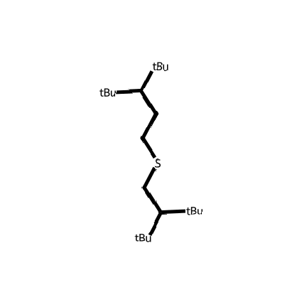 CC(C)(C)C(CCSCC(C(C)(C)C)C(C)(C)C)C(C)(C)C